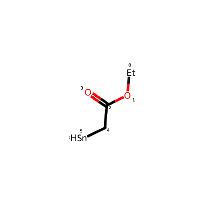 CCOC(=O)[CH2][SnH]